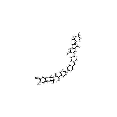 CC1(C)[C@H](NC(=O)c2ccc(N3CCC(CN4CCN(c5cc6c(cc5F)CN(C5CCC(=O)NC5=O)C6=O)CC4)CC3)cc2)C(C)(C)[C@H]1Oc1ccc(C#N)c(Cl)c1